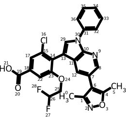 Cc1noc(C)c1-c1cnc2c(c1)c(-c1c(Cl)cc(C(=O)O)cc1OCC(F)F)cn2-c1ccccc1